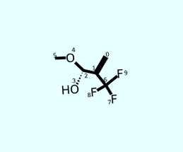 C=C([C@H](O)OC)C(F)(F)F